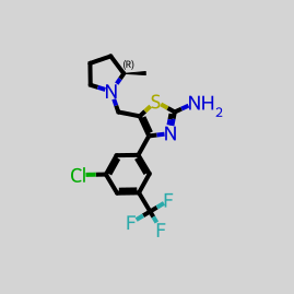 C[C@@H]1CCCN1Cc1sc(N)nc1-c1cc(Cl)cc(C(F)(F)F)c1